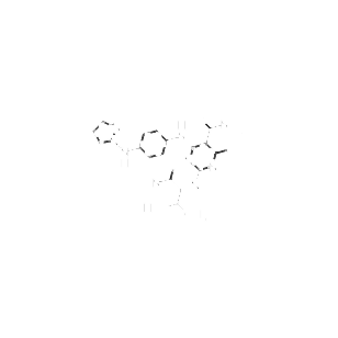 CC(C)[C@@H](Nc1nc(Nc2ccc(Nn3cccn3)cc2)c(C(N)=O)c(=O)[nH]1)C(N)=O